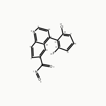 O=NC(=O)c1ccc2nccc(-c3c(F)cccc3Cl)c2c1